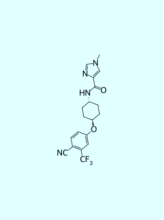 Cn1cnc(C(=O)N[C@H]2CC[C@H](Oc3ccc(C#N)c(C(F)(F)F)c3)CC2)c1